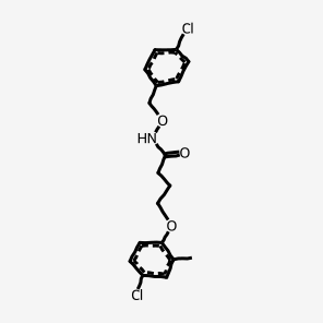 Cc1cc(Cl)ccc1OCCCC(=O)NOCc1ccc(Cl)cc1